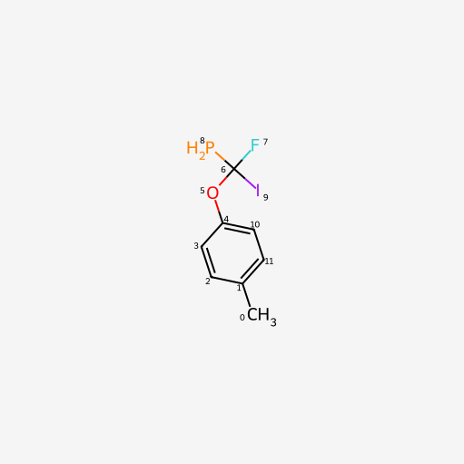 Cc1ccc(OC(F)(P)I)cc1